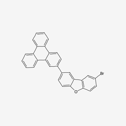 Brc1ccc2oc3ccc(-c4ccc5c6ccccc6c6ccccc6c5c4)cc3c2c1